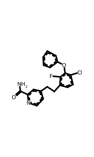 NC(=O)c1cc(C[CH]c2ccc(Cl)c(Oc3ccccc3)c2F)ccn1